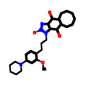 CCOc1cc(N2CCCCC2)ccc1CCCn1c2c(=O)c3ccccccc=3c(=O)c2n[n+]1[O-]